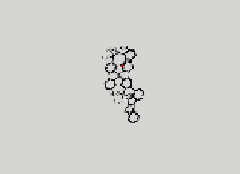 CC(C)(C)c1cc([Si](c2ccccc2)(c2ccccc2)c2cccc3c2Oc2ccccc2C(C)(C)C3(C)C)ccc1-c1cccc2c1nc1sc3ccccc3n12